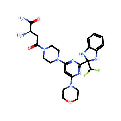 NC(=O)[C@H](N)CC(=O)N1CCN(c2cc(N3CCOCC3)nc(C3(C(F)F)Nc4ccccc4N3)n2)CC1